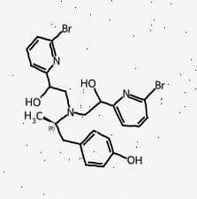 C[C@H](Cc1ccc(O)cc1)N(CC(O)c1cccc(Br)n1)CC(O)c1cccc(Br)n1